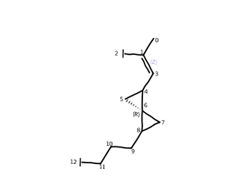 C/C(I)=C/C1C[C@@]12CC2CCCI